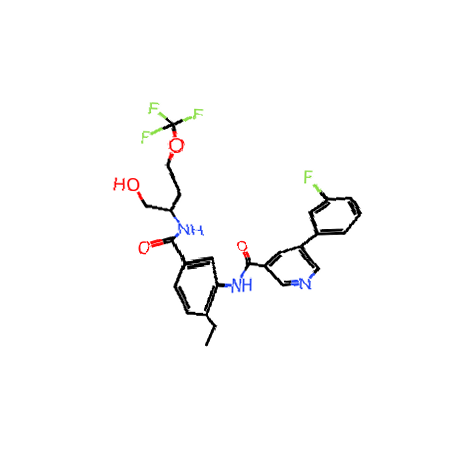 CCc1ccc(C(=O)NC(CO)CCOC(F)(F)F)cc1NC(=O)c1cncc(-c2cccc(F)c2)c1